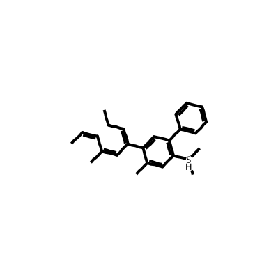 C\C=C/C(C)=C\C(=C/CC)c1cc(-c2ccccc2)c([SH](C)C)cc1C